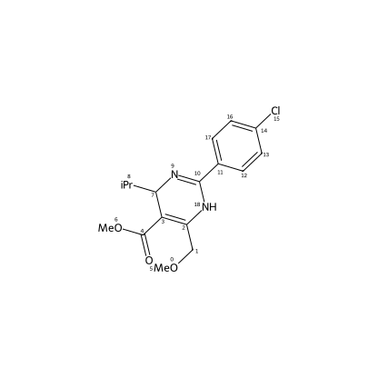 COCC1=C(C(=O)OC)C(C(C)C)N=C(c2ccc(Cl)cc2)N1